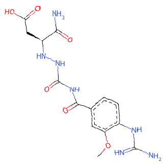 COc1cc(C(=O)NC(=O)NN[C@@H](CC(=O)O)C(N)=O)ccc1NC(=N)N